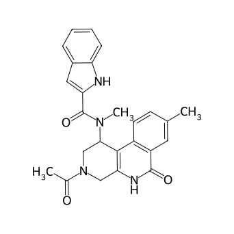 CC(=O)N1Cc2[nH]c(=O)c3cc(C)ccc3c2C(N(C)C(=O)c2cc3ccccc3[nH]2)C1